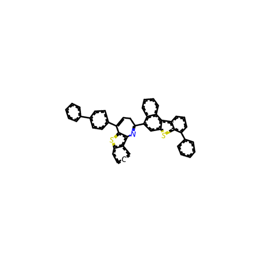 C1=C(c2ccc(-c3ccccc3)cc2)c2sc3ccccc3c2N=C(c2cc3sc4c(-c5ccccc5)cccc4c3c3ccccc23)C1